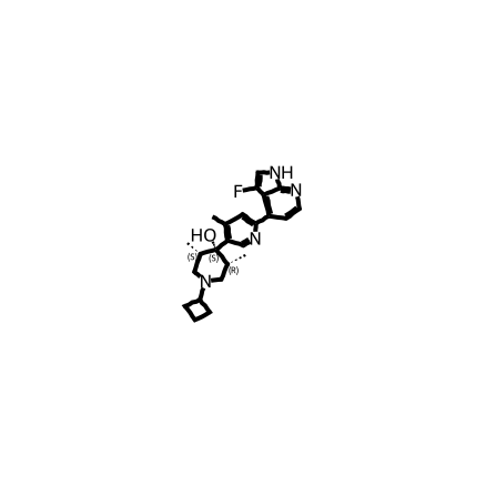 Cc1cc(-c2ccnc3[nH]cc(F)c23)ncc1[C@@]1(O)[C@H](C)CN(C2CCC2)C[C@@H]1C